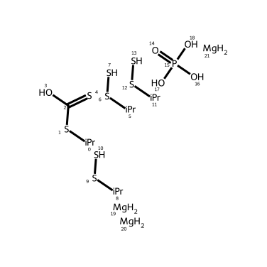 CC(C)SC(O)=S.CC(C)SS.CC(C)SS.CC(C)SS.O=P(O)(O)O.[MgH2].[MgH2].[MgH2]